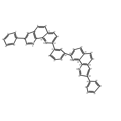 c1ccc(-c2cnc3c(ccc4ccc(-c5cccc(-c6ccc7ccc8cc(-c9ccccc9)cnc8c7n6)c5)nc43)c2)cc1